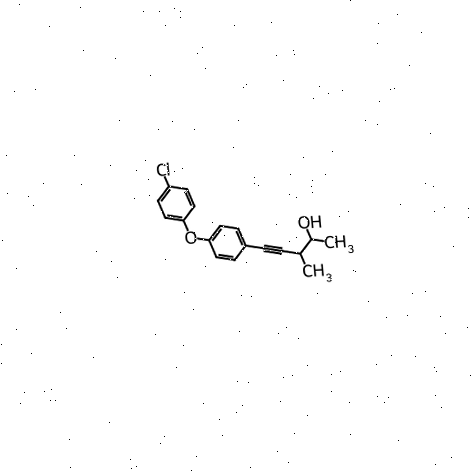 CC(O)C(C)C#Cc1ccc(Oc2ccc(Cl)cc2)cc1